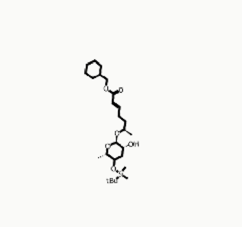 C[C@H](CC/C=C/C(=O)OCC1CCCCC1)O[C@@H]1O[C@@H](C)C(O[Si](C)(C)C(C)(C)C)C[C@H]1O